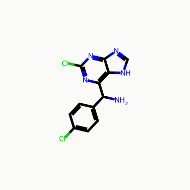 NC(c1ccc(Cl)cc1)c1nc(Cl)nc2nc[nH]c12